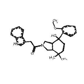 COc1ccccc1C1(O)CCC(C)(C)C2CN(C(=O)Cc3c[nH]c4ccccc34)CC21